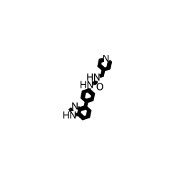 O=C(NCc1ccncc1)Nc1ccc(-c2cccc3[nH]cnc23)cc1